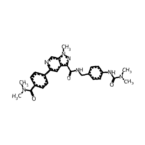 CN(C)C(=O)Nc1ccc(CNC(=O)c2nn(C)c3cnc(-c4ccc(C(=O)N(C)C)cc4)cc23)cc1